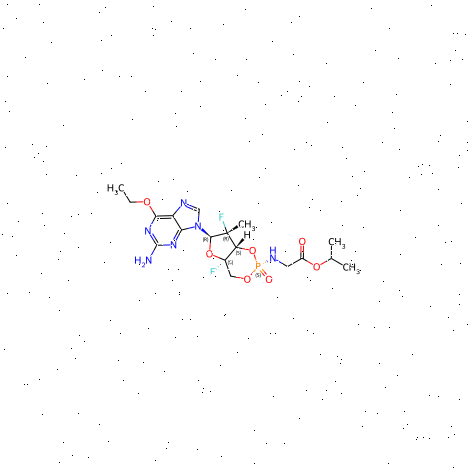 CCOc1nc(N)nc2c1ncn2[C@@H]1O[C@]2(F)CO[P@@](=O)(NCC(=O)OC(C)C)O[C@H]2[C@@]1(C)F